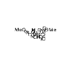 COC(=O)c1csc2c(-c3cc(Cl)ccc3OCCn3c(C)nc4c(c3=O)CC(N3CCC(OC)CC3)CC4)cc(C)nc12